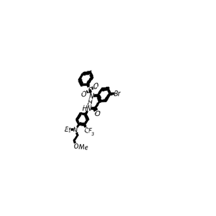 CCN(CCOC)c1ccc(NC(=O)c2cc(Br)ccc2NS(=O)(=O)c2ccccc2)cc1C(F)(F)F